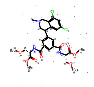 CN1Cc2c(Cl)cc(Cl)cc2C(c2cc(C(=O)N[C@@H](COC(C)(C)C)C(=O)OC(C)(C)C)cc(C(=O)N[C@@H](COC(C)(C)C)C(=O)OC(C)(C)C)c2)C1